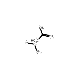 C=C(C)C(=O)O.CCO[SiH3]